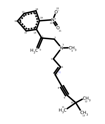 C=C(CN(C)C/C=C/C#CC(C)(C)C)c1ccccc1[N+](=O)[O-]